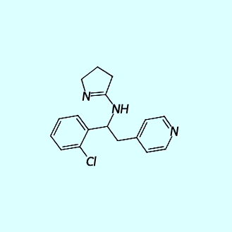 Clc1ccccc1C(Cc1ccncc1)NC1=NCCC1